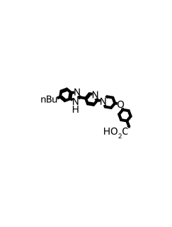 CCCCc1ccc2nc(-c3ccc(N4CCC(OC5CCC(CC(=O)O)CC5)CC4)nc3)[nH]c2c1